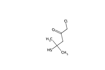 CC(C)(S)CC(=O)CCl